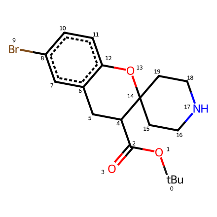 CC(C)(C)OC(=O)C1Cc2cc(Br)ccc2OC12CCNCC2